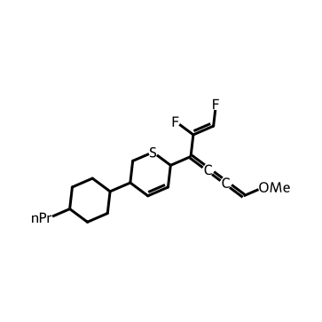 CCCC1CCC(C2C=CC(C(=C=C=COC)/C(F)=C/F)SC2)CC1